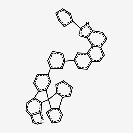 c1ccc(-c2nc3ccc4ccc5ccc(-c6cccc(-c7ccc8c(c7)C7(c9ccccc9-c9ccccc97)c7c-8ccc8ccccc78)c6)cc5c4c3s2)cc1